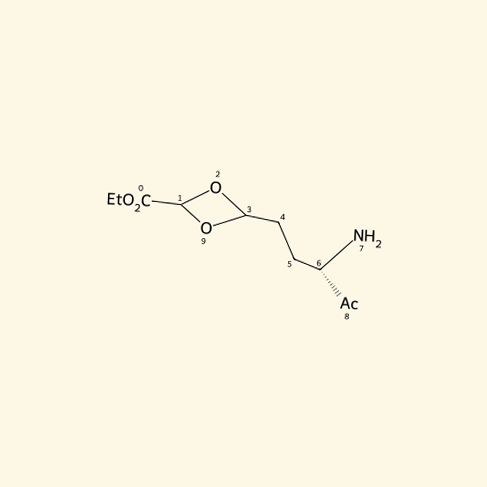 CCOC(=O)C1OC(CC[C@H](N)C(C)=O)O1